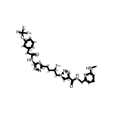 CBc1cccc(CNC(=O)c2cn(CC(F)CCc3nnc(NC(=O)Cc4cccc(OC(F)(F)F)c4)s3)nn2)n1